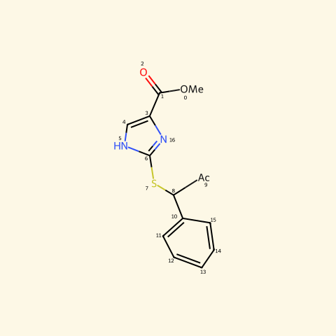 COC(=O)c1c[nH]c(SC(C(C)=O)c2ccccc2)n1